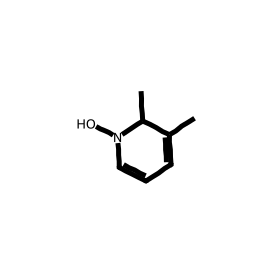 CC1=CC=CN(O)C1C